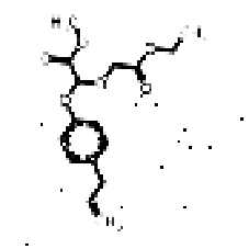 C=CCc1ccc(OC(OCC(=O)OCC)C(=O)OC)cc1